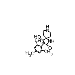 Cc1cc(C)c(C2=C(O)C3(CCNCC3)NC2=O)c(C)c1